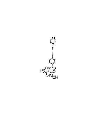 C[C@@H](O)[C@H](NC(=O)c1ccc(C#CC#Cc2ccncc2)cc1)C(=O)NO